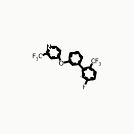 Fc1[c]c(-c2cccc(Oc3ccnc(C(F)(F)F)c3)c2)c(C(F)(F)F)cc1